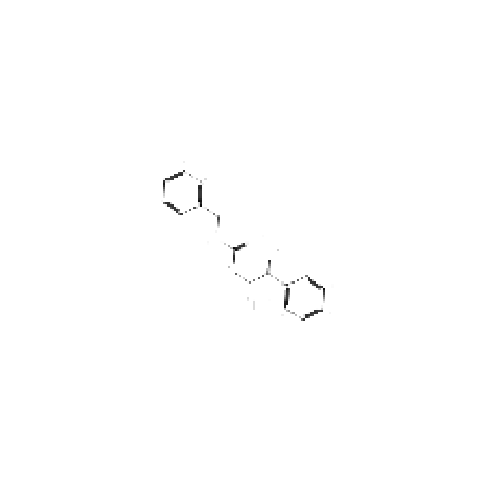 O=C[C@H](NC(=O)OCc1ccccc1)C(I)c1ccccc1